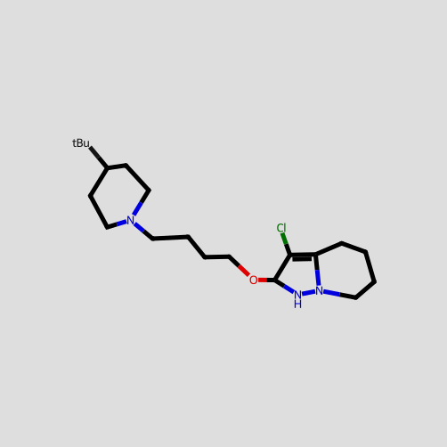 CC(C)(C)C1CCN(CCCCOC2NN3CCCCC3=C2Cl)CC1